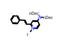 CCCCCCCCCCN(CCCCCCCCCC)c1cc[n+](C)c(C=Cc2ccccc2)c1.[I-]